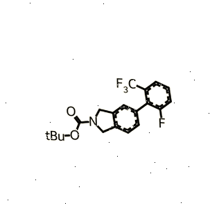 CC(C)(C)OC(=O)N1Cc2ccc(-c3c(F)cccc3C(F)(F)F)cc2C1